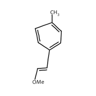 COC=Cc1ccc(C)cc1